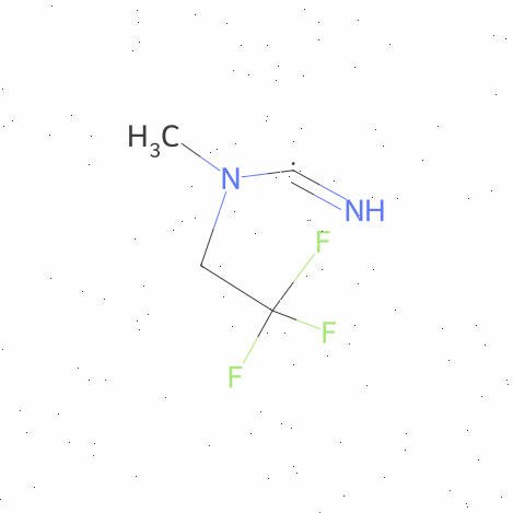 CN([C]=N)CC(F)(F)F